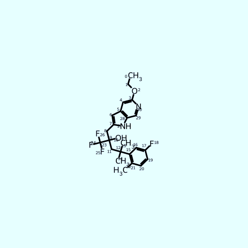 CCOc1cc2cc(CC(O)(CC(C)(C)c3cc(F)ccc3C)C(F)(F)F)[nH]c2cn1